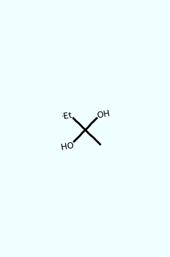 C[CH]C(C)(O)O